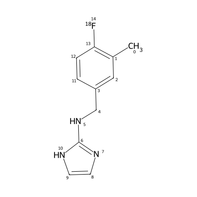 Cc1cc(CNc2ncc[nH]2)ccc1[18F]